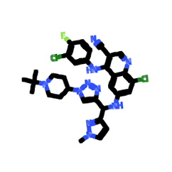 Cn1ccc(C(Nc2cc(Cl)c3ncc(C#N)c(Nc4ccc(F)c(Cl)c4)c3c2)c2cn(C3CCN(C(C)(C)C)CC3)nn2)n1